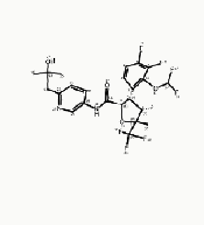 C[C@H]1[C@@H](c2ccc(F)c(F)c2OC(F)F)[C@H](C(=O)Nc2ccc(CC(C)(C)O)nc2)O[C@@]1(C)C(F)(F)F